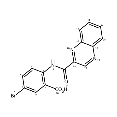 O=C(Nc1ccc(Br)cc1C(=O)O)c1cnc2ccccc2n1